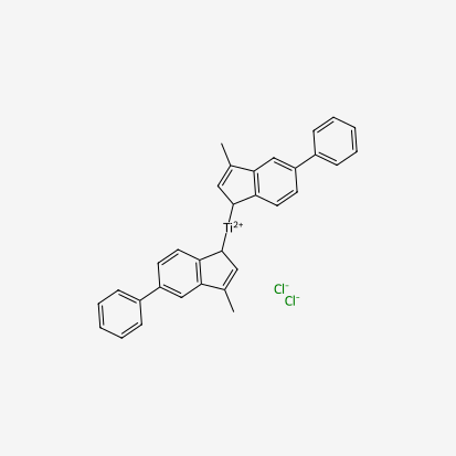 CC1=C[CH]([Ti+2][CH]2C=C(C)c3cc(-c4ccccc4)ccc32)c2ccc(-c3ccccc3)cc21.[Cl-].[Cl-]